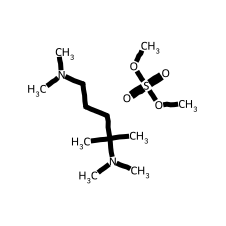 CN(C)CCCC(C)(C)N(C)C.COS(=O)(=O)OC